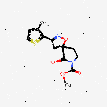 Cc1ccsc1C1=NOC2(CCN(C(=O)OC(C)(C)C)C2=O)C1